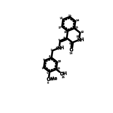 COc1ccc(CN/C=C2\C(=O)NCc3ccccc32)cc1O